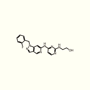 OCCNc1nccc(Nc2cc3c(cn2)cnn3Cc2ccccc2F)n1